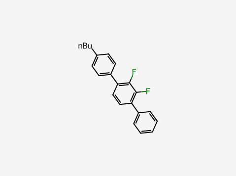 CCCCc1ccc(-c2ccc(-c3ccccc3)c(F)c2F)cc1